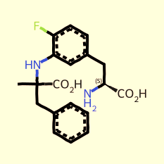 CC(Cc1ccccc1)(Nc1cc(C[C@H](N)C(=O)O)ccc1F)C(=O)O